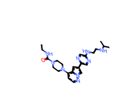 CCNC(=O)N1CCN(c2ccnn3cc(-c4cnc(NCCNC(C)C)cn4)cc23)CC1